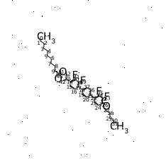 CCCCCCCCCCC1OCC(c2ccc(-c3ccc(-c4ccc(OCCCCC)c(F)c4F)cc3)c(F)c2F)CO1